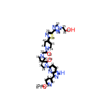 CC(C)Oc1ccc(-c2n[nH]c3ccc(N4CC[C@]5(CCN(CC(=O)N6CC=C(c7ncc(-c8ncn(CCO)n8)s7)CC6)C5)C4=O)nc23)cn1